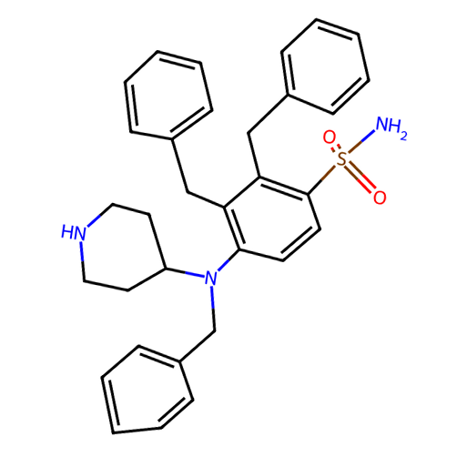 NS(=O)(=O)c1ccc(N(Cc2ccccc2)C2CCNCC2)c(Cc2ccccc2)c1Cc1ccccc1